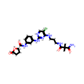 CC(C)(C(N)=O)C(=O)NCCCNc1nc(Nc2cccc(NC(=O)[C@@H]3CCC(=O)O3)c2)ncc1Br